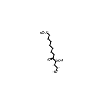 CCCCCCCCCCCCCCCC(=O)C(O)CCO